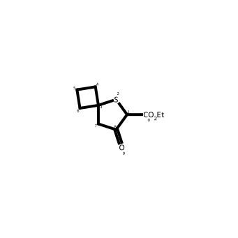 CCOC(=O)C1SC2(CCC2)CC1=O